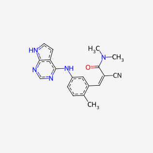 Cc1ccc(Nc2ncnc3[nH]ccc23)cc1C=C(C#N)C(=O)N(C)C